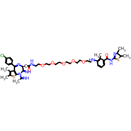 CC(=N)N1C(=N)[C@H](CC(=O)NCCOCCOCCOCCOCCOCCNc2cccc(C(=O)NC3=NC(C)C(C)S3)c2C)N=C(c2ccc(Cl)cc2)c2c1sc(C)c2C